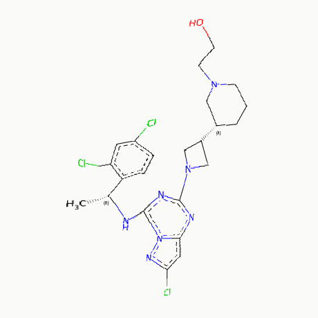 C[C@@H](Nc1nc(N2CC([C@H]3CCCN(CCO)C3)C2)nc2cc(Cl)nn12)c1ccc(Cl)cc1Cl